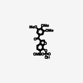 COc1cc(C(=O)c2coc3c(OP(=O)(O)O)c(OC)ccc23)cc(OC)c1OC